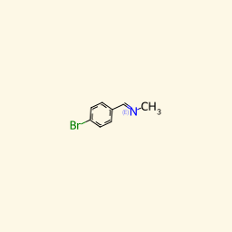 C/N=C/c1ccc(Br)cc1